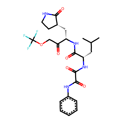 CC(C)C[C@H](NC(=O)C(=O)Nc1ccccc1)C(=O)N[C@@H](C[C@@H]1CCNC1=O)C(=O)COC(F)(F)F